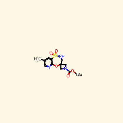 Cc1cnc2c(c1)S(=O)(=O)NCC1(CN(C(=O)OC(C)(C)C)C1)O2